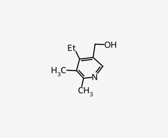 CCc1c(CO)cnc(C)c1C